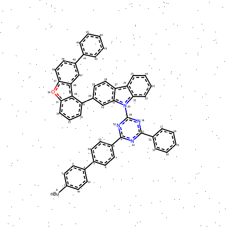 CCCCc1ccc(-c2ccc(-c3nc(-c4ccccc4)nc(-n4c5ccccc5c5ccc(-c6cccc7oc8ccc(-c9ccccc9)cc8c67)cc54)n3)cc2)cc1